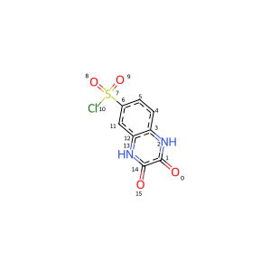 O=c1[nH]c2ccc(S(=O)(=O)Cl)cc2[nH]c1=O